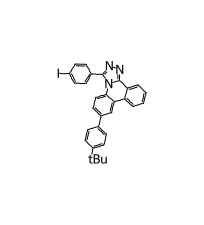 CC(C)(C)c1ccc(-c2ccc3c(c2)c2ccccc2c2nnc(-c4ccc(I)cc4)n32)cc1